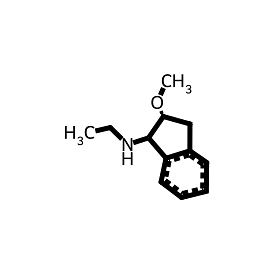 CCNC1c2ccccc2C[C@H]1OC